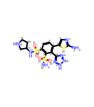 Nc1ncc(-c2ccc(S(=O)(=O)NC3CCNC3)c(S(N)(=O)=O)c2-c2nn[nH]n2)s1